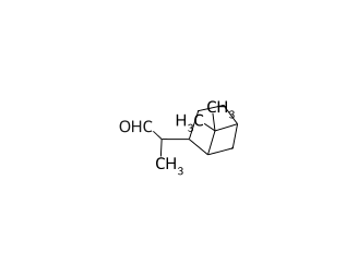 CC(C=O)C1CCC2CC1C2(C)C